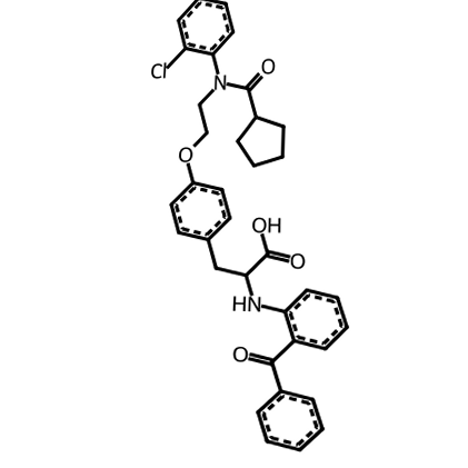 O=C(c1ccccc1)c1ccccc1NC(Cc1ccc(OCCN(C(=O)C2CCCC2)c2ccccc2Cl)cc1)C(=O)O